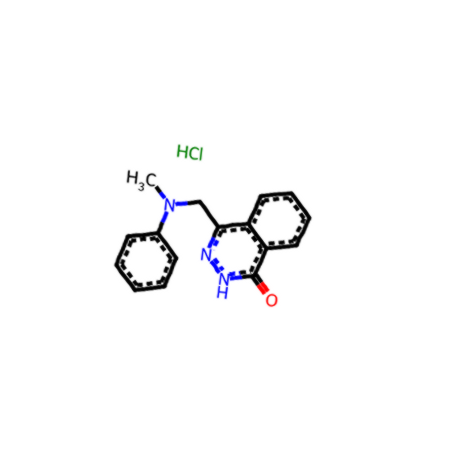 CN(Cc1n[nH]c(=O)c2ccccc12)c1ccccc1.Cl